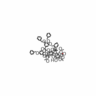 CC(=O)OC[C@@H]1O[C@H](O[C@H]2[C@H](OC(C)=O)[C@@H](O)[C@H](Oc3c(-c4cc(OCc5ccccc5)c(OCc5ccccc5)c(OCc5ccccc5)c4)oc4cc(OCc5ccccc5)cc(O)c4c3=O)O[C@@H]2COC(C)=O)[C@@H](O)[C@H](OC(C)=O)[C@@H]1OC(C)=O